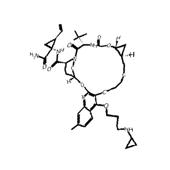 C=C[C@@H]1C[C@]1(NC(=O)[C@@H]1C[C@@H]2CN1C(=O)[C@H](C(C)(C)C)NC(=O)O[C@@H]1C[C@H]1CCCCCc1c(nc3cc(C)ccc3c1OCCCNC1CC1)O2)C(N)=O